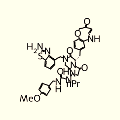 CCCN(C(=O)NCc1ccc(OC)cc1)N1CC(=O)N2[C@@H](Cc3ccc4c(c3)N/C=C/C(=O)CO4)C(=O)N(Cc3cccc4sc(N)nc34)C[C@@H]21